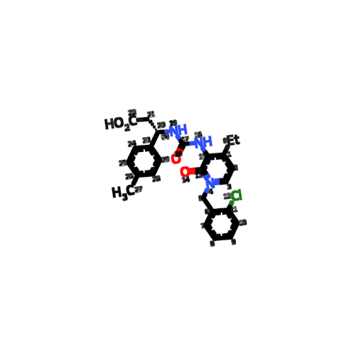 CCc1ccn(Cc2ccccc2Cl)c(=O)c1NC(=O)N[C@@H](CC(=O)O)c1ccc(C)cc1